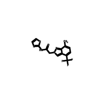 Cc1ccc(C(F)(F)F)c2cn(CC(=O)Nc3nccs3)nc12